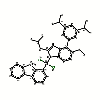 CCc1ccc2c(c1-c1cc(C(C)C)cc(C(C)C)c1)C=C(CC(C)C)[CH]2[Zr]([Cl])([Cl])[c]1cccc2c1[SiH2]c1ccccc1-2